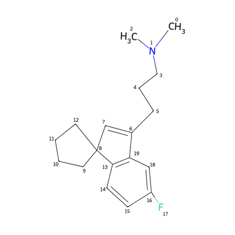 CN(C)CCCC1=CC2(CCCC2)c2ccc(F)cc21